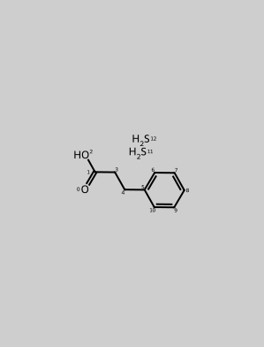 O=C(O)CCc1ccccc1.S.S